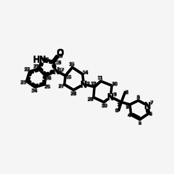 CC(C)(C1C=CC=NC1)N1CCC(N2CCC(n3c(=O)[nH]c4ccccc43)CC2)CC1